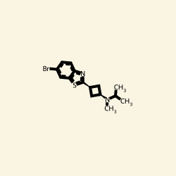 CC(C)N(C)[C@H]1C[C@@H](c2nc3ccc(Br)cc3s2)C1